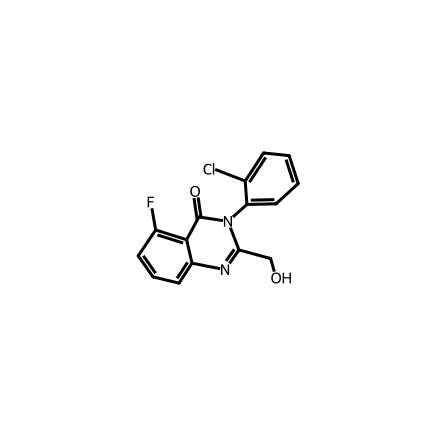 O=c1c2c(F)cccc2nc(CO)n1-c1ccccc1Cl